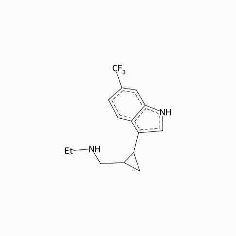 CCNCC1CC1c1c[nH]c2cc(C(F)(F)F)ccc12